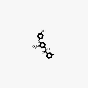 O=C(Nc1ccc(Sc2ccc(O)cc2)c([N+](=O)[O-])c1)c1cccc(F)c1